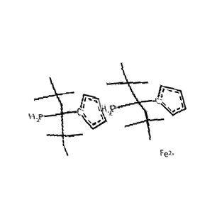 CC(C)(C)C(P)([c-]1cccc1)C(C)(C)C.CC(C)(C)C(P)([c-]1cccc1)C(C)(C)C.[Fe+2]